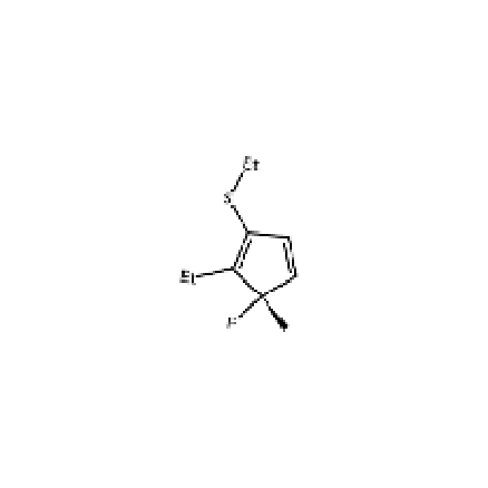 CCSC1=C(CC)[C@@](C)(F)C=C1